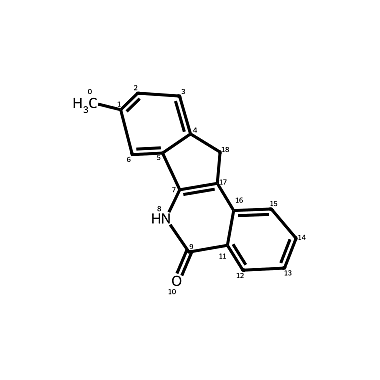 Cc1ccc2c(c1)-c1[nH]c(=O)c3ccccc3c1C2